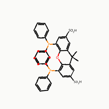 CC1(C)c2cc(S(=O)(=O)O)cc(P(c3ccccc3)c3ccccc3)c2Oc2c(P(c3ccccc3)c3ccccc3)cc(S(=O)(=O)O)cc21